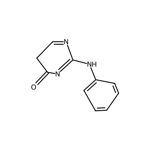 O=C1CC=NC(Nc2ccccc2)=N1